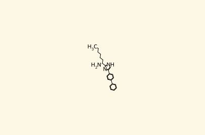 CCCCCC[C@@H](N)c1nc(-c2ccc(-c3ccccc3)cc2)c[nH]1